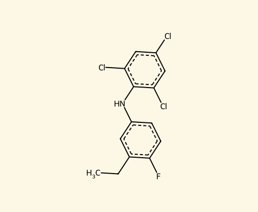 CCc1cc(Nc2c(Cl)cc(Cl)cc2Cl)ccc1F